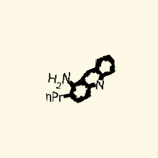 CCCc1ccc2nc3ccccc3cc2c1N